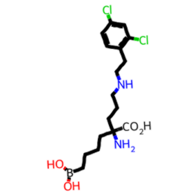 NC(CCCCB(O)O)(CCCNCCc1ccc(Cl)cc1Cl)C(=O)O